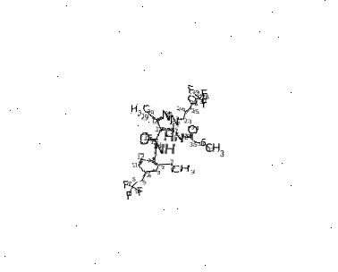 CCc1cc(CCC(F)(F)F)ccc1NC(=O)c1c(CC)nn(CCCOC(F)(F)F)c1NC(=O)CSC